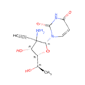 C#CC1(N)[C@@H](O)[C@@H]([C@@H](C)O)O[C@H]1n1ccc(=O)[nH]c1=O